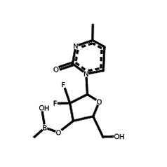 CB(O)OC1C(CO)OC(n2ccc(C)nc2=O)C1(F)F